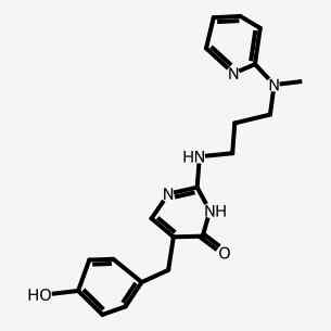 CN(CCCNc1ncc(Cc2ccc(O)cc2)c(=O)[nH]1)c1ccccn1